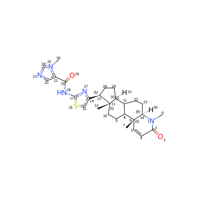 CN1C(=O)C=C[C@]2(C)C3CC[C@]4(C)[C@@H](c5csc(NC(=O)c6cncn6C)n5)CC[C@H]4C3CC[C@@H]12